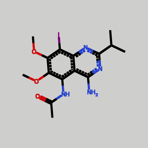 COc1c(OC)c(NC(C)=O)c2c(N)nc(C(C)C)nc2c1I